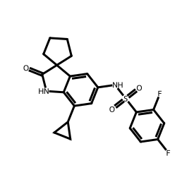 O=C1Nc2c(C3CC3)cc(NS(=O)(=O)c3ccc(F)cc3F)cc2C12CCCC2